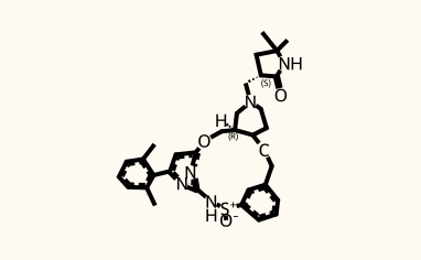 Cc1cccc(C)c1-c1cc2nc(n1)N[S+]([O-])c1cccc(c1)CCC1CCN(C[C@@H]3CC(C)(C)NC3=O)C[C@@H]1CO2